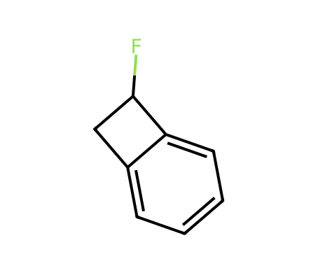 FC1Cc2ccccc21